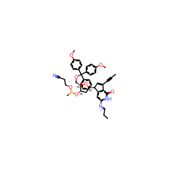 CC#CC1=CC([C@H]2C[C@@H](OP(C)OCCC#N)[C@@H](COC(c3ccccc3)(c3ccc(OC)cc3)c3ccc(OC)cc3)O2)c2cc(/N=C/CC)[nH]c(=O)c21